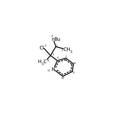 CCCCC(C)C(C)(Cl)c1ccccn1